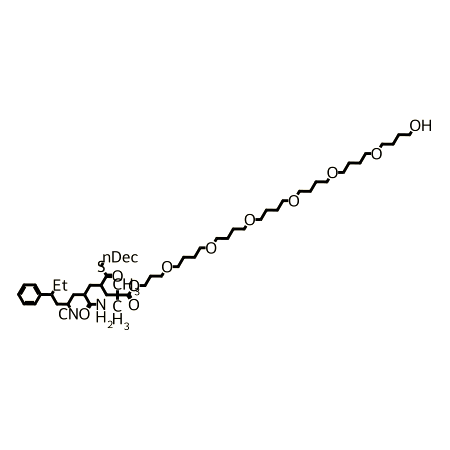 CCCCCCCCCCSC(=O)C(CC(CC(C#N)CC(CC)c1ccccc1)C(N)=O)CC(C)(C)C(=O)OCCCOCCCCOCCCCOCCCCOCCCCOCCCCOCCCCO